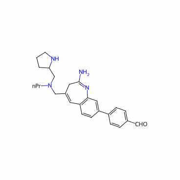 CCCN(CC1=Cc2ccc(-c3ccc(C=O)cc3)cc2N=C(N)C1)CC1CCCN1